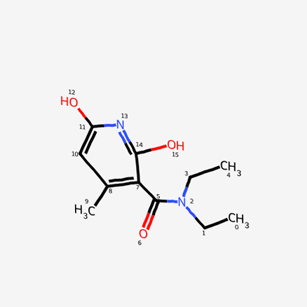 CCN(CC)C(=O)c1c(C)cc(O)nc1O